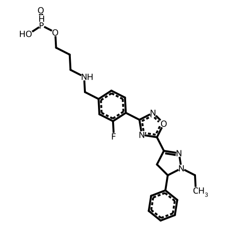 CCN1N=C(c2nc(-c3ccc(CNCCCO[PH](=O)O)cc3F)no2)CC1c1ccccc1